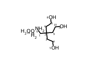 NCC(CCO)(CCO)CCO.O.O